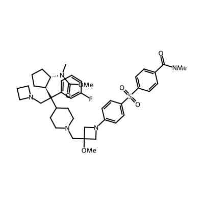 CNC(=O)c1ccc(S(=O)(=O)c2ccc(N3CC(CN4CCC(C(CN5CCC5)(c5cccc(F)c5)[C@H]5CCC[C@@H]5N(C)C(=O)OC)CC4)(OC)C3)cc2)cc1